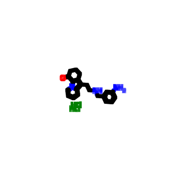 Cl.Cl.Nc1cccc(CNCCc2c3c(n4ccccc24)C(=O)CCC3)c1